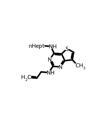 C=CCNc1nc(NCCCCCCC)c2scc(C)c2n1